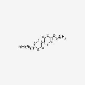 CCCCCCO[C@H]1CC[C@H]([C@H]2CC[C@H](CCC(F)(F)F)CC2)CC1